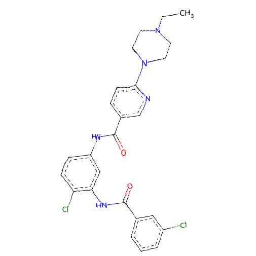 CCN1CCN(c2ccc(C(=O)Nc3ccc(Cl)c(NC(=O)c4cccc(Cl)c4)c3)cn2)CC1